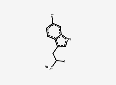 O=C(O)C(I)Cc1c[nH]c2cc(Cl)ccc12